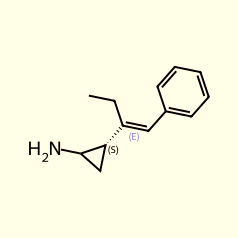 CC/C(=C\c1ccccc1)[C@@H]1CC1N